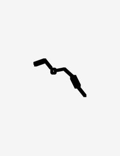 C=COCC#CC